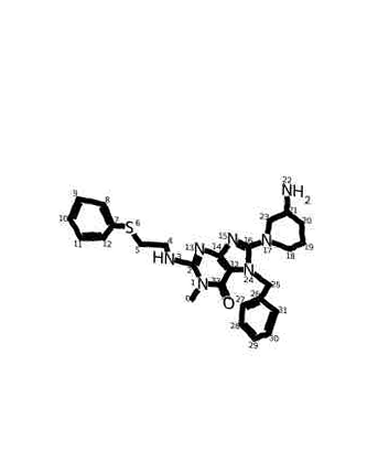 Cn1c(NCCSc2ccccc2)nc2nc(N3CCCC(N)C3)n(Cc3ccccc3)c2c1=O